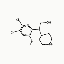 COc1cc(Cl)c(Cl)cc1C(CO)C1CCNCC1